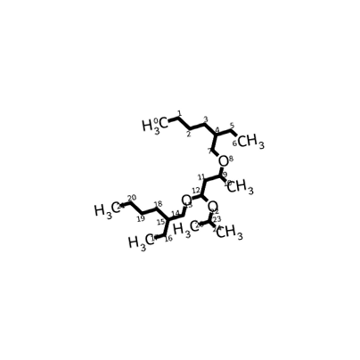 CCCCC(CC)COC(C)CC(OCC(CC)CCCC)OC(C)C